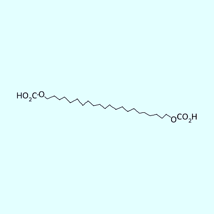 O=C(O)OCCCCCCCCCCCCCCCCCCCCCCOC(=O)O